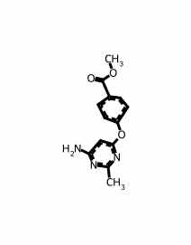 COC(=O)c1ccc(Oc2cc(N)nc(C)n2)cc1